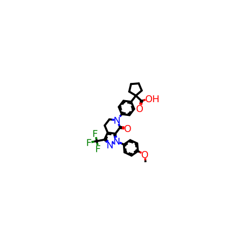 COc1ccc(-n2nc(C(F)(F)F)c3c2C(=O)N(c2ccc(C4(C(=O)O)CCCC4)cc2)CC3)cc1